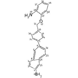 Bc1ccc2cc(-c3ccc(COc4ccccc4N)cc3)ccc2c1